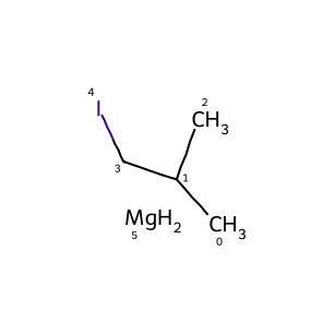 CC(C)CI.[MgH2]